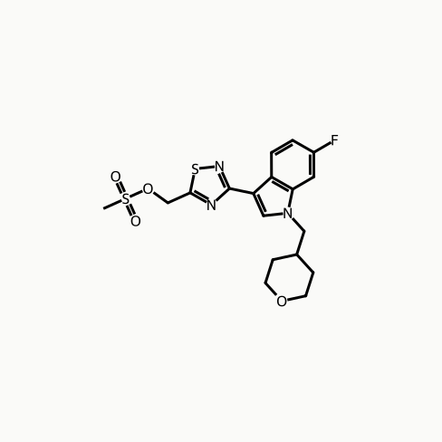 CS(=O)(=O)OCc1nc(-c2cn(CC3CCOCC3)c3cc(F)ccc23)ns1